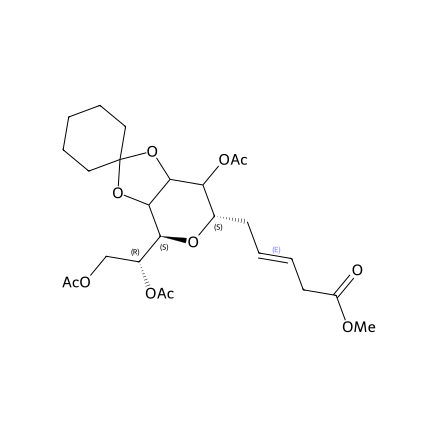 COC(=O)C/C=C/C[C@@H]1O[C@@H]([C@@H](COC(C)=O)OC(C)=O)C2OC3(CCCCC3)OC2C1OC(C)=O